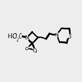 O=C(O)N1CC(CCN2CCSCC2)C12OO2